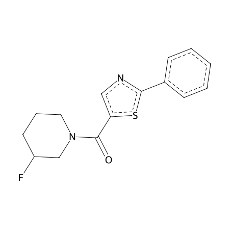 O=C(c1cnc(-c2ccccc2)s1)N1CCCC(F)C1